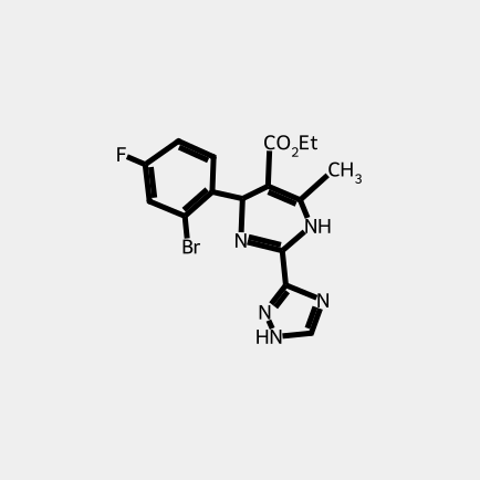 CCOC(=O)C1=C(C)NC(c2nc[nH]n2)=NC1c1ccc(F)cc1Br